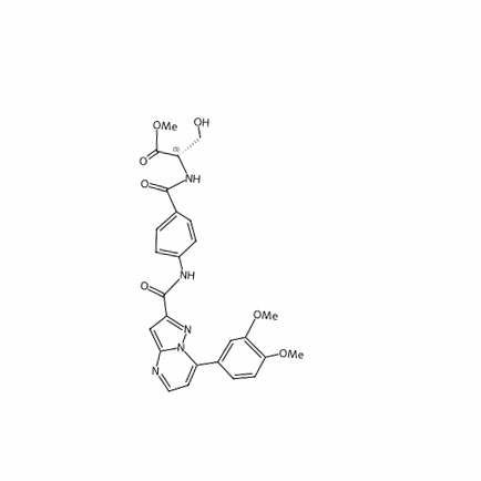 COC(=O)[C@H](CO)NC(=O)c1ccc(NC(=O)c2cc3nccc(-c4ccc(OC)c(OC)c4)n3n2)cc1